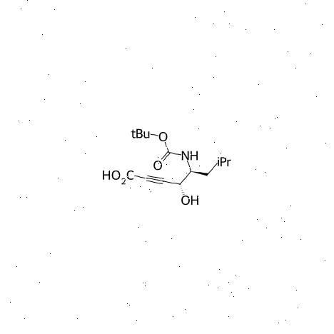 CC(C)C[C@H](NC(=O)OC(C)(C)C)[C@H](O)C#CC(=O)O